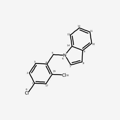 Clc1ccc(Cn2[c]cc3ccccc32)c(Cl)c1